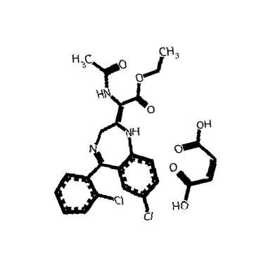 CCOC(=O)C(NC(C)=O)=C1CN=C(c2ccccc2Cl)c2cc(Cl)ccc2N1.O=C(O)/C=C\C(=O)O